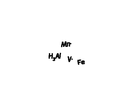 [AlH3].[Fe].[Mn].[V]